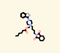 CCCCCC(=O)OC[N+]1(CCCCN2C(=O)C3CCCCC3C2=O)CCN(c2nsc3ccccc23)CC1